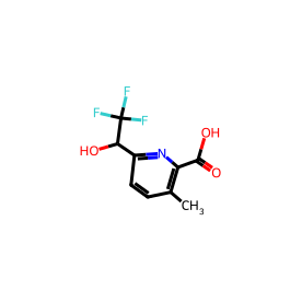 Cc1ccc(C(O)C(F)(F)F)nc1C(=O)O